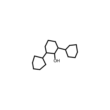 OC1C(C2CCCCC2)CCCC1C1CCCCC1